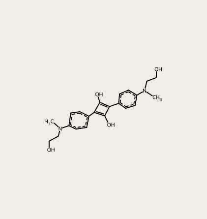 CN(CCO)c1ccc(C2=C(O)C(c3ccc(N(C)CCO)cc3)=C2O)cc1